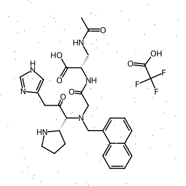 CC(=O)NC[C@H](NC(=O)CN(Cc1cccc2ccccc12)C(C(=O)Cc1c[nH]cn1)[C@@H]1CCCN1)C(=O)O.O=C(O)C(F)(F)F